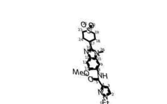 CCn1ccc(C(=O)Nc2cc3c(cc2OC)nc(C2CCS(=O)(=O)CC2)n3C)n1